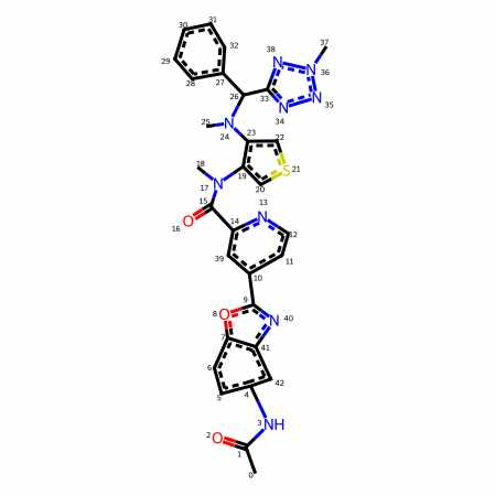 CC(=O)Nc1ccc2oc(-c3ccnc(C(=O)N(C)c4cscc4N(C)C(c4ccccc4)c4nnn(C)n4)c3)nc2c1